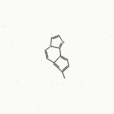 Cc1ccc2c(ccn3ccnc23)c1